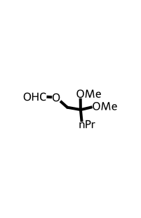 CCCC(COC=O)(OC)OC